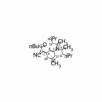 CCCCC(=O)/C(C#N)=C1\C=C(N(C(C)CC(C)C)C(C)CC(C)C)CC(C)C1